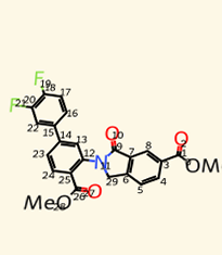 COC(=O)c1ccc2c(c1)C(=O)N(c1cc(-c3ccc(F)c(F)c3)ccc1C(=O)OC)C2